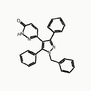 O=c1ccc(-c2c(-c3ccccc3)nn(Cc3ccccc3)c2-c2ccccc2)n[nH]1